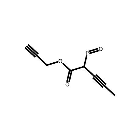 C#CCOC(=O)C(C#CC)P=O